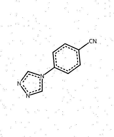 N#Cc1ccc(-n2cnnc2)cc1